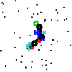 Fc1cnc(OCc2ccc(OC(F)(F)F)cc2)nc1NCc1ccc(Cl)cc1